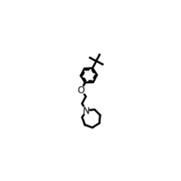 CC(C)(C)c1ccc(OCCN2CCCCCC2)cc1